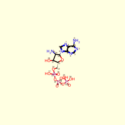 Nc1ncnc2c1ncn2[C@@H]1O[C@H](COP(=O)(O)OP(=O)(O)OP(=O)(O)O)C(O)C1N